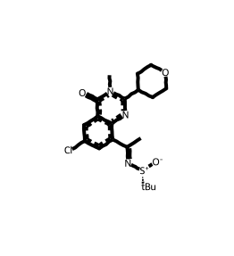 C/C(=N\[S@+]([O-])C(C)(C)C)c1cc(Cl)cc2c(=O)n(C)c(C3CCOCC3)nc12